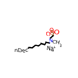 CCCCCCCCCCCCCCCCCCN(C)CCS(=O)(=O)[O-].[Na+]